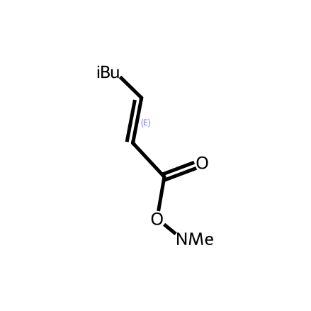 CCC(C)/C=C/C(=O)ONC